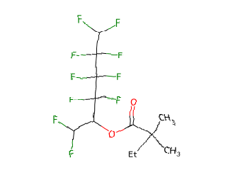 CCC(C)(C)C(=O)OC(C(F)F)C(F)(F)C(F)(F)C(F)(F)C(F)F